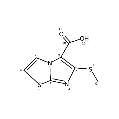 CSc1nc2sccn2c1C(=O)O